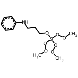 COO[Si](OCCCNc1ccccc1)(OOC)OOC